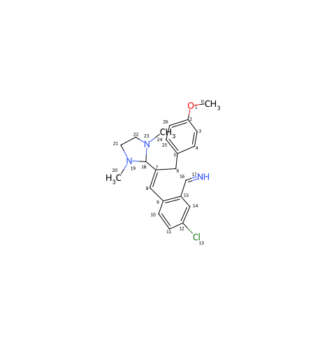 COc1ccc(C/C(=C\c2ccc(Cl)cc2C=N)C2N(C)CCN2C)cc1